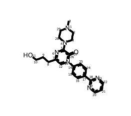 CN1CCN(c2nc(CCCO)cn(-c3ccc(-c4ncccn4)cc3)c2=O)CC1